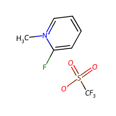 C[n+]1ccccc1F.O=S(=O)([O-])C(F)(F)F